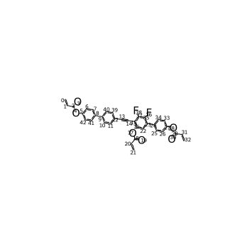 C=CC(=O)Oc1ccc(-c2ccc(C#Cc3c(OC(=O)C=C)cc(-c4ccc(OC(=O)C=C)cc4)c(F)c3F)cc2)cc1